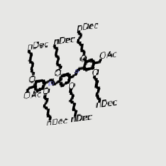 CCCCCCCCCCCCCCCCOc1cc(/C=C/c2cc(OCCCCCCCCCCCCCCCC)c(COC(C)=O)cc2OCCCCCCCCCCCCCCCC)c(OCCCCCCCCCCCCCCCC)cc1/C=C/c1cc(OCCCCCCCCCCCCCCCC)c(COC(C)=O)cc1OCCCCCCCCCCCCCCCC